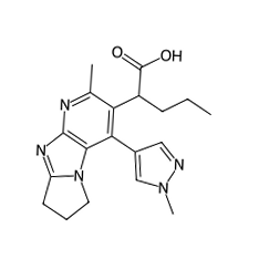 CCCC(C(=O)O)c1c(C)nc2nc3n(c2c1-c1cnn(C)c1)CCC3